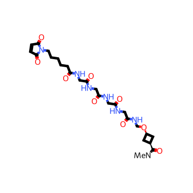 CNC(=O)[C@H]1C[C@@H](OCNC(=O)CNC(=O)CNC(=O)CNC(=O)CNC(=O)CCCCCN2C(=O)C=CC2=O)C1